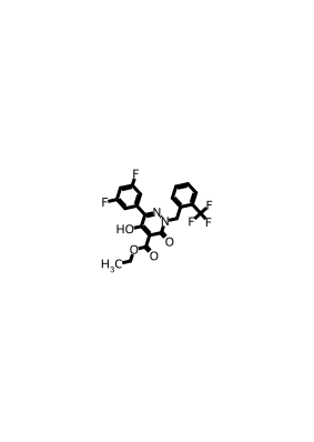 CCOC(=O)c1c(O)c(-c2cc(F)cc(F)c2)nn(Cc2ccccc2C(F)(F)F)c1=O